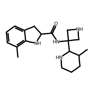 Cc1cccc2c1NC(C(=O)NC1(C3NCCCC3C)CNC1)C2